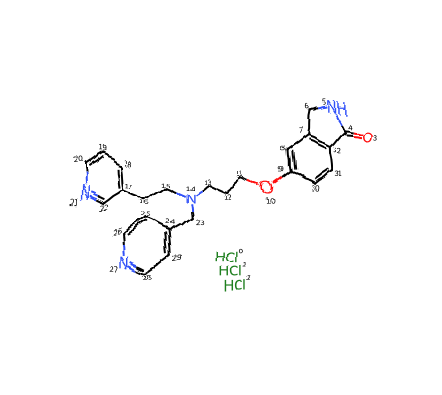 Cl.Cl.Cl.O=C1NCc2cc(OCCCN(CCc3cccnc3)Cc3ccncc3)ccc21